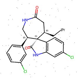 CC(C)C[C@@H]1CC(=O)NC[C@H](c2cccc(Cl)c2)[C@@]12C(=O)Nc1cc(Cl)ccc12